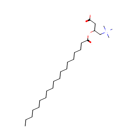 CCCCCCCCCCCCCCCCCCC(=O)OC(CC(=O)[O-])C[N+](C)(C)C